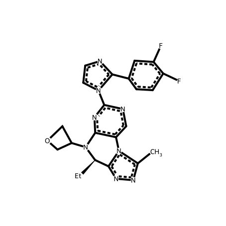 CC[C@@H]1c2nnc(C)n2-c2cnc(-n3ccnc3-c3ccc(F)c(F)c3)nc2N1C1COC1